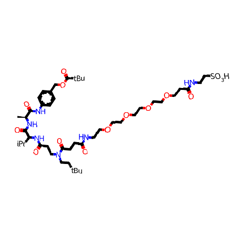 CC(C)C(NC(=O)CCN(CCC(C)(C)C)C(=O)CCC(=O)NCCOCCOCCOCCOCCC(=O)NCCS(=O)(=O)O)C(=O)N[C@@H](C)C(=O)Nc1ccc(COC(=O)C(C)(C)C)cc1